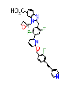 O=C(O)c1ccc2nc(Cc3cc(F)c(-c4cccc(OCc5ccc(C#Cc6ccncc6)cc5F)n4)cc3F)n(C[C@@H]3CCO3)c2c1